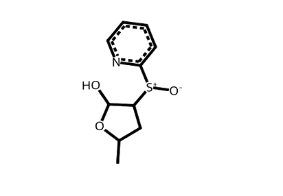 CC1CC([S+]([O-])c2ccccn2)C(O)O1